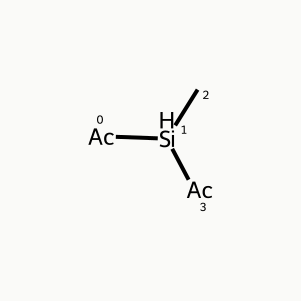 CC(=O)[SiH](C)C(C)=O